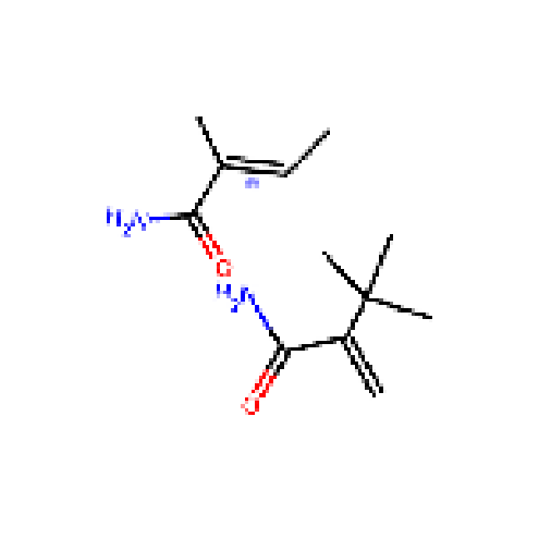 C/C=C(\C)C(N)=O.C=C(C(N)=O)C(C)(C)C